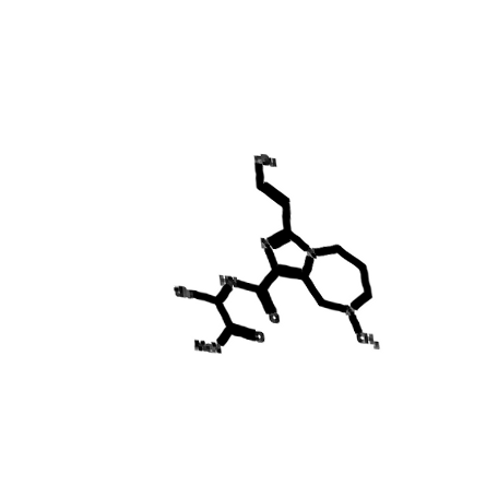 CCCCC=Cc1nc(C(=O)NC(C(=O)NC)C(C)(C)C)c2n1CCCN(C)C2